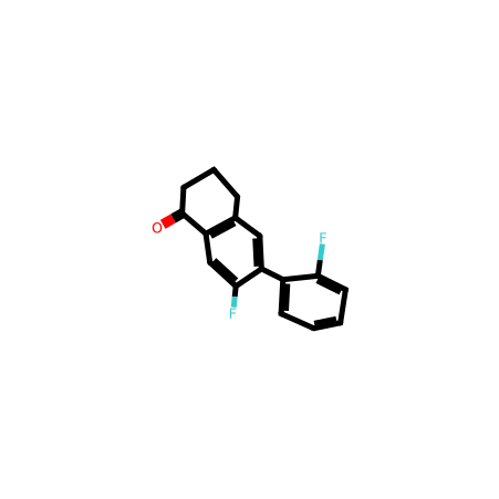 O=C1CCCc2cc(-c3ccccc3F)c(F)cc21